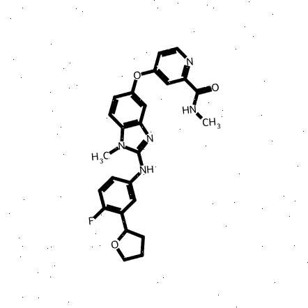 CNC(=O)c1cc(Oc2ccc3c(c2)nc(Nc2ccc(F)c(C4CCCO4)c2)n3C)ccn1